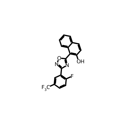 Oc1ccc2ccccc2c1-c1nc(-c2cc(C(F)(F)F)ccc2F)no1